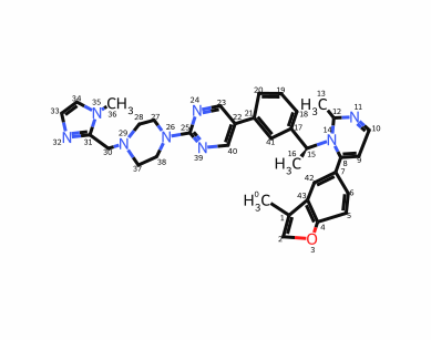 Cc1coc2ccc(C3=CC=NC(C)N3[C@@H](C)c3cccc(-c4cnc(N5CCN(Cc6nccn6C)CC5)nc4)c3)cc12